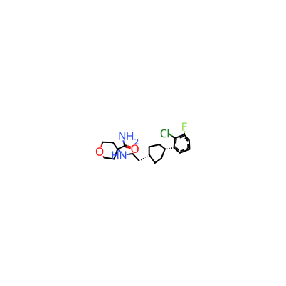 NC(=O)C1(NCC[C@H]2CC[C@@H](c3cccc(F)c3Cl)CC2)CCOCC1